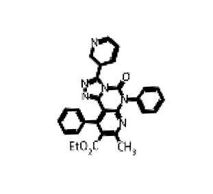 CCOC(=O)c1c(C)nc2c(c1-c1ccccc1)c1nnc(C3C=CC=NC3)n1c(=O)n2-c1ccccc1